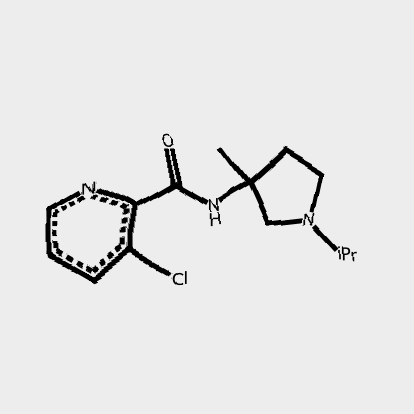 CC(C)N1CCC(C)(NC(=O)c2ncccc2Cl)C1